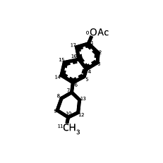 CC(=O)Oc1ccc2cc(C3CCC(C)CC3)ccc2c1